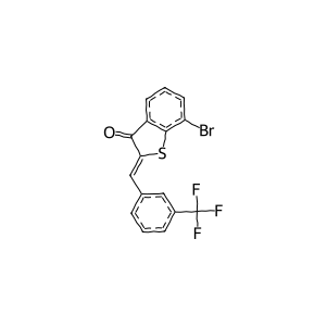 O=C1/C(=C/c2cccc(C(F)(F)F)c2)Sc2c(Br)cccc21